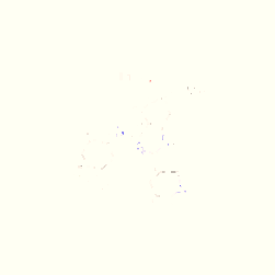 COc1cc2nc(-c3cccnc3)nc(Nc3ccc(Cl)c(C)c3)c2cc1OC(C)C